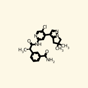 C[C@@H](C(=O)Nc1cc(-c2cnn3c2CC(C)(C)C3)c(Cl)cn1)c1cccc(C(N)=O)c1